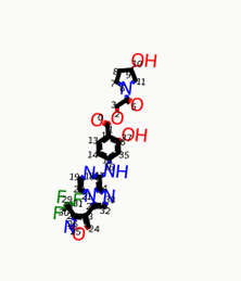 O=C(OCC(=O)N1CC[C@H](O)C1)c1ccc(Nc2nccn3c(-c4conc4C(F)(F)F)cnc23)cc1O